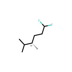 CC(C)[C@@H](C)CCC(F)F